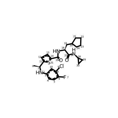 C[C@H](Nc1ccc(F)c(Cl)c1)c1ccc(C(=O)N[C@@H](CC2CCCC2)C(=O)NC2CC2)s1